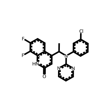 CC(c1cc(=O)[nH]c2c(F)c(F)ccc12)N(c1cccc(Cl)c1)c1ncccn1